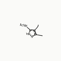 CC(=O)Nc1[nH]nc(C)c1C